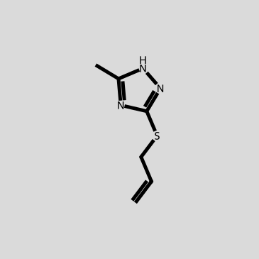 C=CCSc1n[nH]c(C)n1